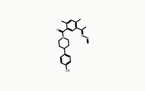 C=N/N=C(\C)c1cc(C(=O)N2CCC(c3ccc(C#N)cc3)CC2)c(C)cc1C